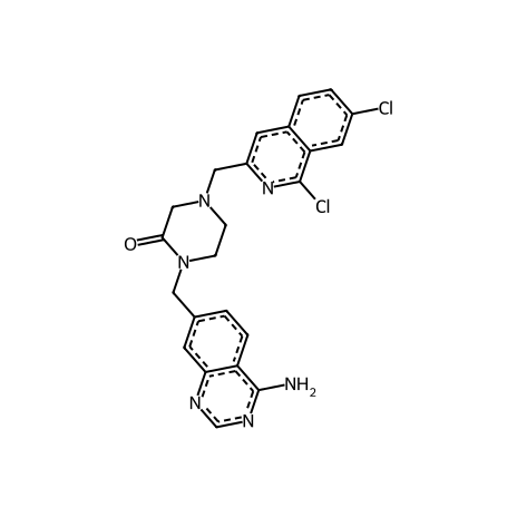 Nc1ncnc2cc(CN3CCN(Cc4cc5ccc(Cl)cc5c(Cl)n4)CC3=O)ccc12